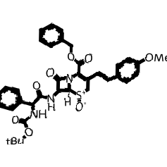 COc1ccc(C=CC2=C(C(=O)OCc3ccccc3)N3C(=O)C(NC(=O)C(NC(=O)OC(C)(C)C)c4ccccc4)[C@@H]3[S+]([O-])C2)cc1